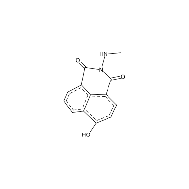 CNN1C(=O)c2cccc3c(O)ccc(c23)C1=O